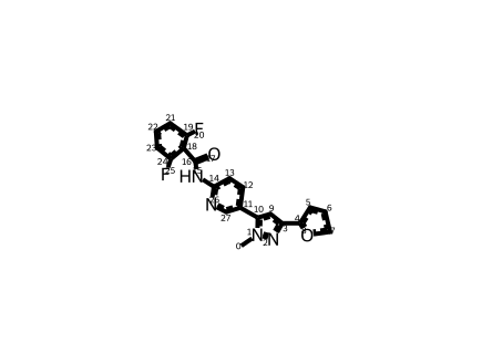 Cn1nc(-c2ccco2)cc1-c1ccc(NC(=O)c2c(F)cccc2F)nc1